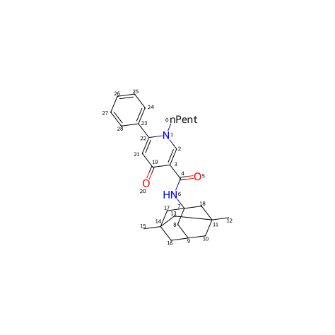 CCCCCn1cc(C(=O)NC23CC4CC(C)(CC(C)(C4)C2)C3)c(=O)cc1-c1ccccc1